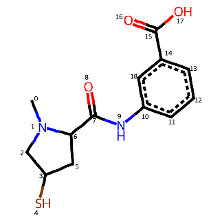 CN1CC(S)CC1C(=O)Nc1cccc(C(=O)O)c1